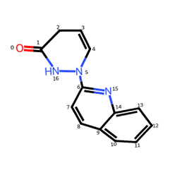 O=C1CC=CN(c2ccc3ccccc3n2)N1